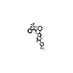 Cc1cn2nc([C@@H]3CCCCN3C(=O)[C@H](NS(C)(=O)=O)c3ccccc3)cc2nc1N1CC[C@H](N)C1